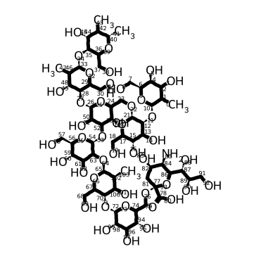 CC1C(O)[C@H](O)[C@H](CO)O[C@H]1O[C@@H]1C(O)[C@H](O)C(CO)O[C@@H]1OCC1O[C@@H](O[C@@H]2C(CO)O[C@@H](O[C@@H]3C(CO)O[C@@H](C)C(C)[C@H]3O)C(C)[C@H]2O)C(O)C(O[C@H]2O[C@H](CO)[C@@H](O)C(O)C2O[C@@H]2OC(CO)[C@@H](O[C@@H]3OC(CO[C@]4(C(=O)O)C[C@@H](O)[C@@H](N)C([C@H](O)[C@H](O)CO)O4)[C@H](O)C(O)[C@@H]3O)C(O)[C@@H]2C)[C@@H]1O